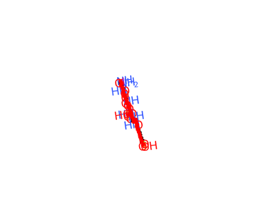 NC(=O)[C@H](CCCCNC(=O)COCCOCCNC(=O)COCCOCCNC(=O)[C@H](CS(=O)(=O)O)NC(=O)C1CCC(CNC(=O)CCCCCCCCCCCCCCCS(=O)(=O)O)CC1)NI